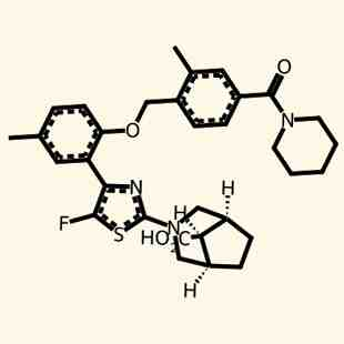 Cc1ccc(OCc2ccc(C(=O)N3CCCCC3)cc2C)c(-c2nc(N3C[C@H]4CC[C@@H](C3)[C@H]4C(=O)O)sc2F)c1